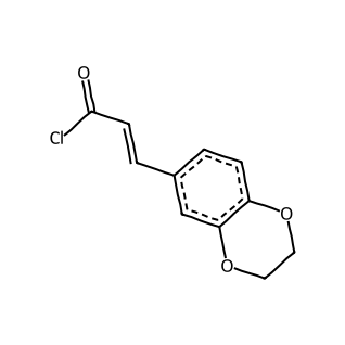 O=C(Cl)/C=C/c1ccc2c(c1)OCCO2